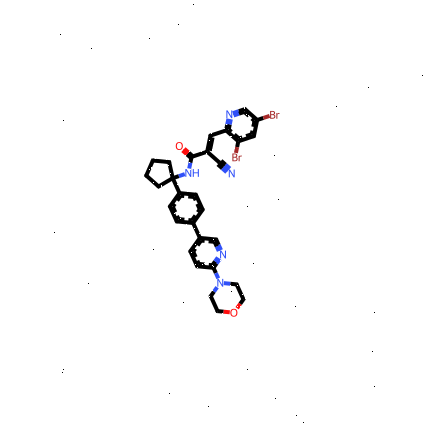 N#C/C(=C\c1ncc(Br)cc1Br)C(=O)NC1(c2ccc(-c3ccc(N4CCOCC4)nc3)cc2)CCCC1